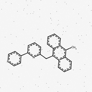 Cc1c2ccccc2c(Cc2cccc(-c3ccncc3)n2)c2ccccc12